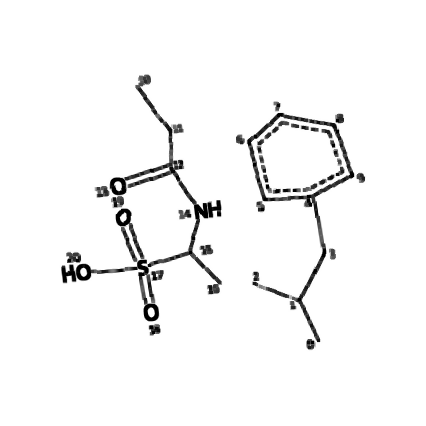 CC(C)Cc1ccccc1.CCC(=O)NC(C)S(=O)(=O)O